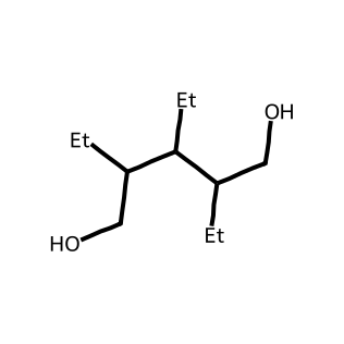 CCC(CO)C(CC)C(CC)CO